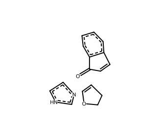 C1=COCC1.O=C1C=Cc2ccccc21.c1c[nH]cn1